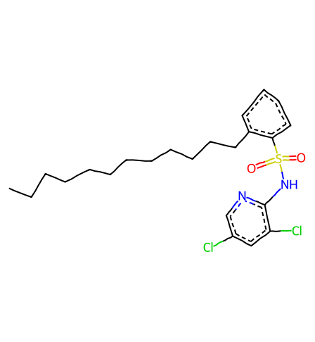 CCCCCCCCCCCCc1ccccc1S(=O)(=O)Nc1ncc(Cl)cc1Cl